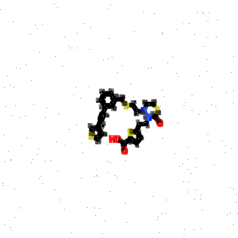 O=C(O)c1ccc(CCN2C(=O)SCCN2CCSCc2cccc(C#Cc3ccsc3)c2)s1